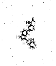 CC(C)Nc1cncc(-c2ccc3[nH]nc(C4Nc5ccncc5N4)c3c2)c1